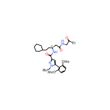 CCC(=O)CNC(=O)C[C@H](CCC1CCCCC1)NC(=O)c1cc(-c2c(OC)cccc2OC)n(CC(C)CC)n1